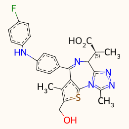 Cc1c(CO)sc2c1C(c1ccc(Nc3ccc(F)cc3)cc1)=NC([C@H](C)C(=O)O)c1nnc(C)n1-2